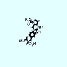 CC(N(Cc1ccc2c(c1)[nH]c(=N)n2CC1CCCN1C(=O)C(F)(F)F)C(=O)O)C(C)(C)C